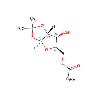 COC(=O)OC[C@H]1O[C@H]2OC(C)(C)O[C@@H]2[C@H]1O